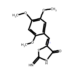 COc1cc(OC)c(OC)cc1/C=C1\SC(=N)NC1=O